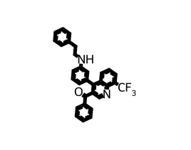 O=C(c1ccccc1)c1cnc2c(C(F)(F)F)cccc2c1-c1cccc(NCCc2ccccc2)c1